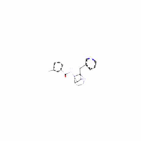 O=C(NC1C2CCN(CC2)C1Cc1cccnc1)c1cccc(Cl)c1